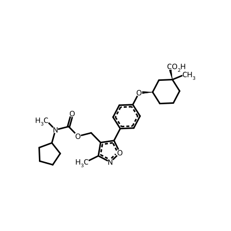 Cc1noc(-c2ccc(O[C@@H]3CCC[C@](C)(C(=O)O)C3)cc2)c1COC(=O)N(C)C1CCCC1